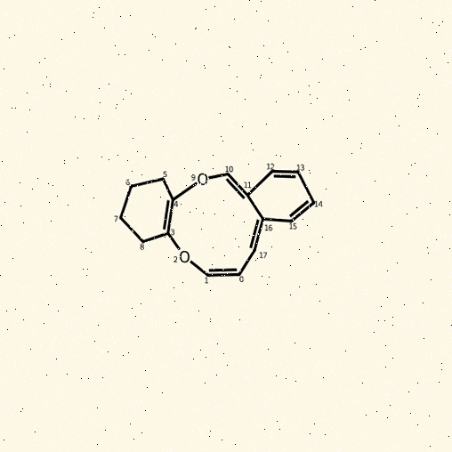 C1=COC2=C(CCCC2)OC=c2ccccc2=C1